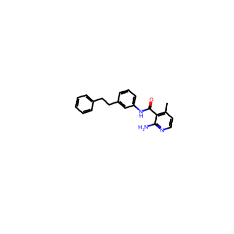 Cc1ccnc(N)c1C(=O)Nc1cccc(CCc2ccccc2)c1